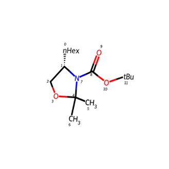 CCCCCC[C@H]1COC(C)(C)N1C(=O)OC(C)(C)C